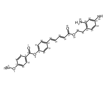 CCCCOc1ccc(C(=O)Oc2ccc(/C=C/C=C/C(=O)OCCc3ccc(N)cc3N)cc2)cc1